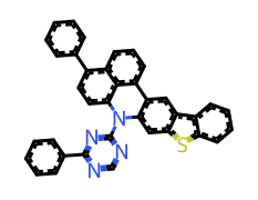 c1ccc(-c2ncnc(N3c4cc5sc6ccccc6c5cc4-c4cccc5c(-c6ccccc6)ccc3c45)n2)cc1